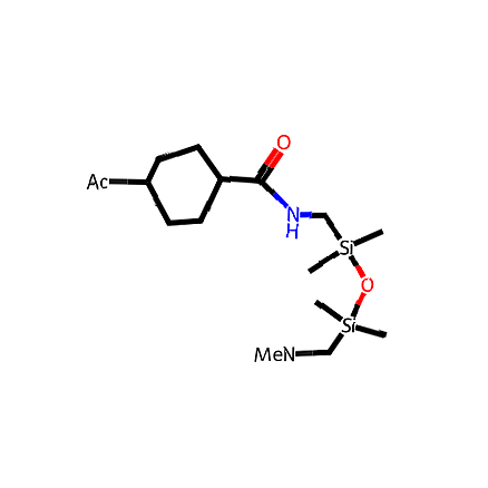 CNC[Si](C)(C)O[Si](C)(C)CNC(=O)C1CCC(C(C)=O)CC1